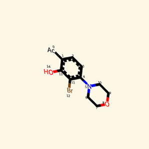 CC(=O)c1ccc(N2CCOCC2)c(Br)c1O